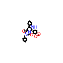 O=C1[C@@H]2Cc3c([nH]c4ccccc34)[C@H](c3ccc4c(c3)OCO4)N2C(=O)CN1Cc1ccccc1